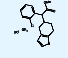 COC(=O)C(c1ccccc1Cl)N1CCc2sccc2C1.Cl.O